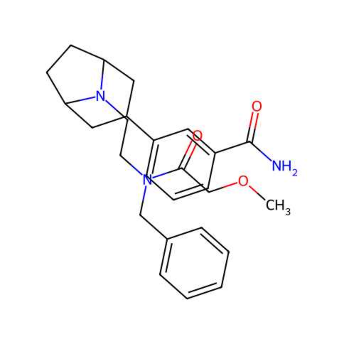 COCC(=O)N(CCN1C2CCC1CC(c1cccc(C(N)=O)c1)C2)Cc1ccccc1